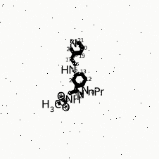 CCCn1nc(CNS(C)(=O)=O)c2c1CCC(NCCc1cccnc1)C2